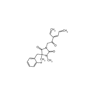 C=C/C=C(\C=C)C(=O)CN1C(=O)N(C)C(C)(Cc2ccccc2F)C1=O